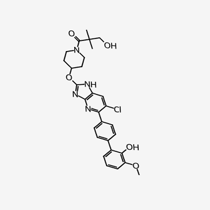 COc1cccc(-c2ccc(-c3nc4nc(OC5CCN(C(=O)C(C)(C)CO)CC5)[nH]c4cc3Cl)cc2)c1O